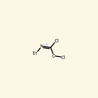 CC/N=C(/Cl)OCl